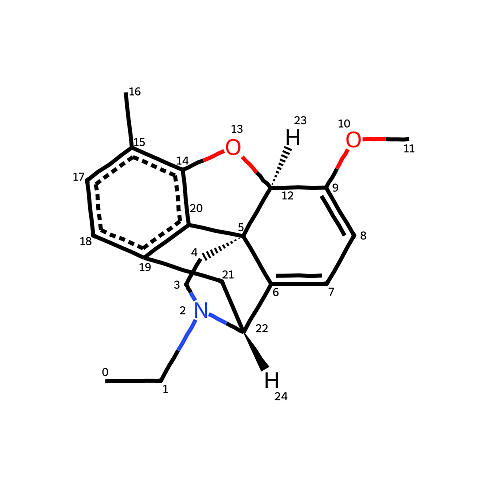 CCN1CC[C@@]23C4=CC=C(OC)[C@@H]2Oc2c(C)ccc(c23)C[C@H]41